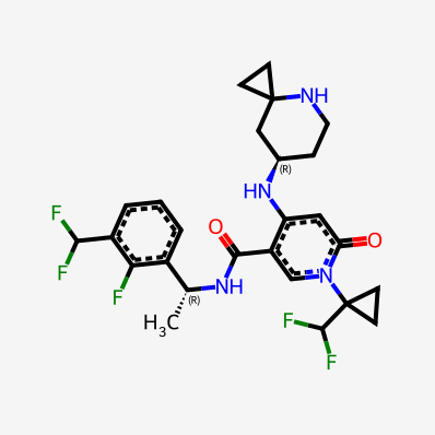 C[C@@H](NC(=O)c1cn(C2(C(F)F)CC2)c(=O)cc1N[C@@H]1CCNC2(CC2)C1)c1cccc(C(F)F)c1F